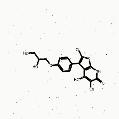 N#Cc1c(O)c2c(-c3ccc(OCC(O)CO)cc3)c(Cl)sc2[nH]c1=O